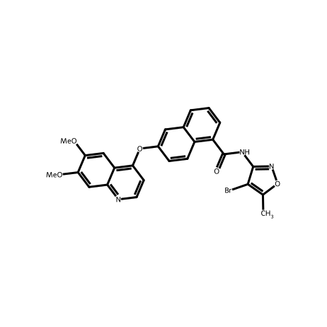 COc1cc2nccc(Oc3ccc4c(C(=O)Nc5noc(C)c5Br)cccc4c3)c2cc1OC